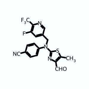 Cc1sc(N(Cc2cnc(C(F)(F)F)c(F)c2)c2ccc(C#N)cc2)nc1C=O